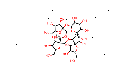 CC(OCC1(C(C)OCC2(OC3OC(CO)C(O)C(O)C3O)OC(CO)C(O)C2O)OC(CO)C(O)C1O)C1(CO)OC(CO)C(O)C1O